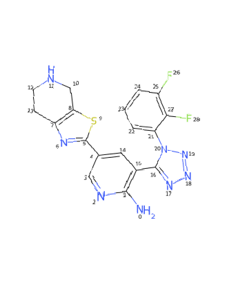 Nc1ncc(-c2nc3c(s2)CNCC3)cc1-c1nnnn1-c1cccc(F)c1F